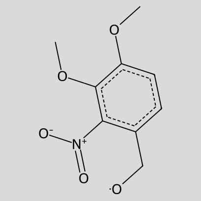 COc1ccc(C[O])c([N+](=O)[O-])c1OC